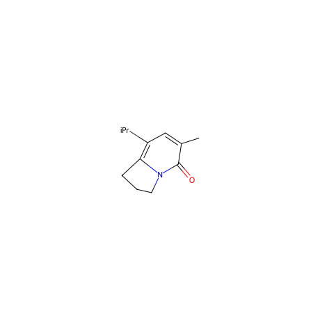 Cc1cc(C(C)C)c2n(c1=O)CCC2